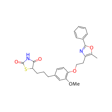 COc1cc(CCCC2SC(=O)NC2=O)ccc1OCCc1nc(-c2ccccc2)oc1C